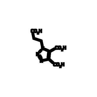 O=C(O)CCn1nnc(C(=O)O)c1C(=O)O